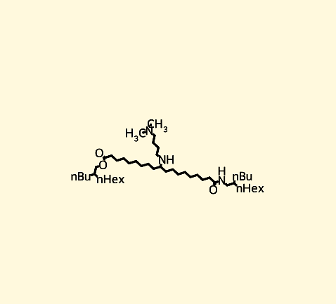 CCCCCCC(CCCC)CNC(=O)CCCCCCCCC(CCCCCCCCC(=O)OCC(CCCC)CCCCCC)NCCCCN(C)C